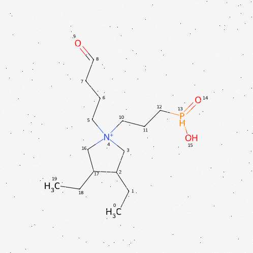 CCC1C[N+](CCCC=O)(CCC[PH](=O)O)CC1CC